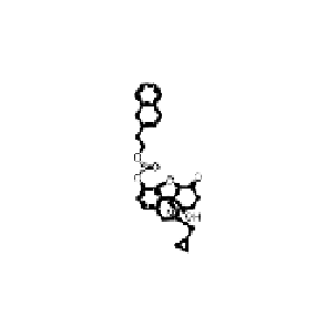 O=C1CCC2(O)C3Cc4ccc(OS(=O)OCCC5=CCc6ccccc6C5)c5c4C2(CCN3CC2CC2)C1O5